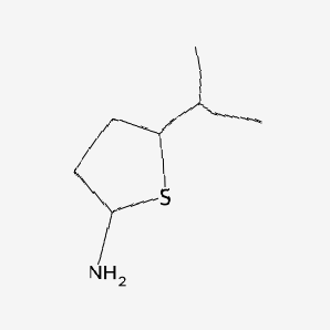 CC(C)C1CCC(N)S1